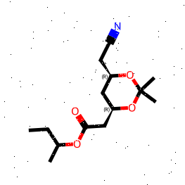 CCC(C)OC(=O)C[C@H]1C[C@@H](CC#N)OC(C)(C)O1